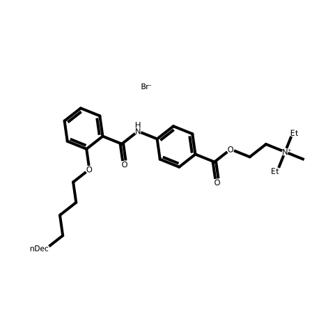 CCCCCCCCCCCCCCOc1ccccc1C(=O)Nc1ccc(C(=O)OCC[N+](C)(CC)CC)cc1.[Br-]